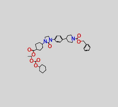 CC(OC(=O)OC1CCCCC1)OC(=O)C1CCC(N2CCN(c3ccc(C4CCN(C(=O)OCc5ccccc5)CC4)cc3)C2=O)CC1